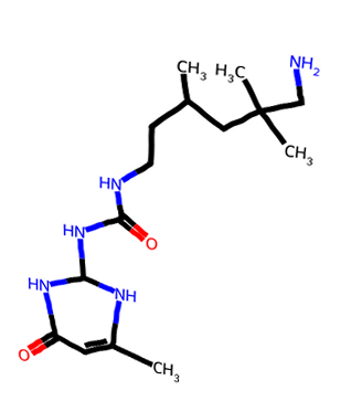 CC1=CC(=O)NC(NC(=O)NCCC(C)CC(C)(C)CN)N1